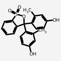 Cc1cc(O)ccc1C1(c2ccc(O)cc2C)OS(=O)(=O)c2ccccc21